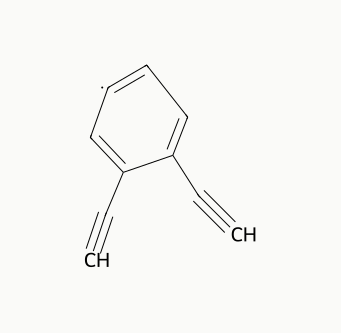 C#Cc1c[c]ccc1C#C